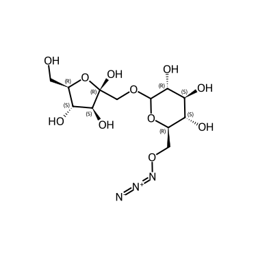 [N-]=[N+]=NOC[C@H]1OC(OC[C@@]2(O)O[C@H](CO)[C@@H](O)[C@@H]2O)[C@H](O)[C@@H](O)[C@@H]1O